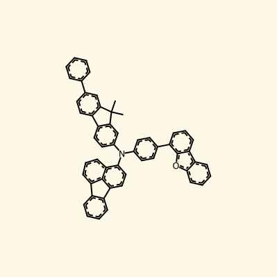 CC1(C)c2cc(-c3ccccc3)ccc2-c2ccc(N(c3ccc(-c4cccc5c4oc4ccccc45)cc3)c3ccc4c5c(cccc35)-c3ccccc3-4)cc21